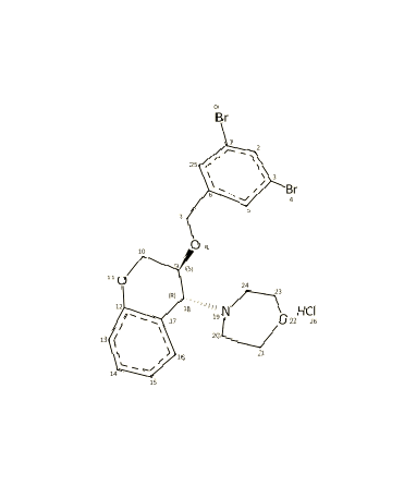 Brc1cc(Br)cc(CO[C@@H]2COc3ccccc3[C@H]2N2CCOCC2)c1.Cl